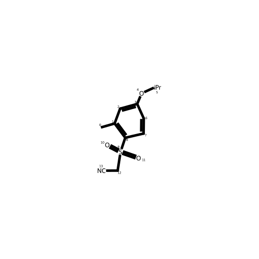 Cc1cc(OC(C)C)ccc1S(=O)(=O)CC#N